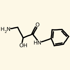 NCC(O)C(=O)Nc1ccccc1